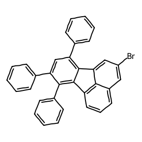 Brc1cc2c3c(cccc3c1)-c1c(-c3ccccc3)c(-c3ccccc3)cc(-c3ccccc3)c1-2